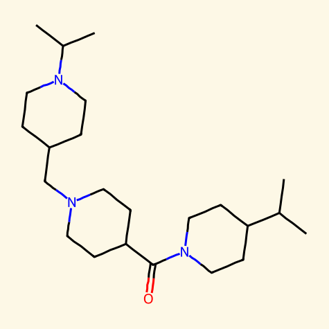 CC(C)C1CCN(C(=O)C2CCN(CC3CCN(C(C)C)CC3)CC2)CC1